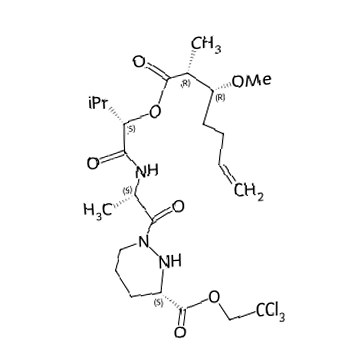 C=CCC[C@@H](OC)[C@@H](C)C(=O)O[C@H](C(=O)N[C@@H](C)C(=O)N1CCC[C@@H](C(=O)OCC(Cl)(Cl)Cl)N1)C(C)C